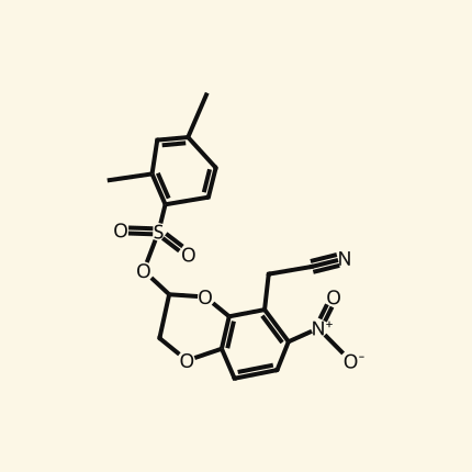 Cc1ccc(S(=O)(=O)OC2COc3ccc([N+](=O)[O-])c(CC#N)c3O2)c(C)c1